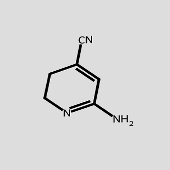 N#CC1=CC(N)=NCC1